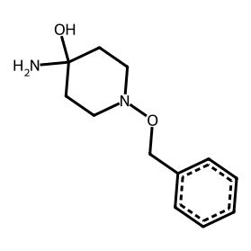 NC1(O)CCN(OCc2ccccc2)CC1